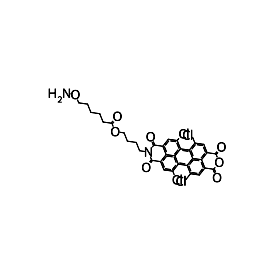 NOCCCCCC(=O)OCCCCN1C(=O)c2cc(Cl)c3c4c(Cl)cc5c6c(cc(Cl)c(c7c(Cl)cc(c2c37)C1=O)c64)C(=O)OC5=O